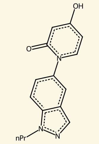 CCCn1ncc2cc(-n3ccc(O)cc3=O)ccc21